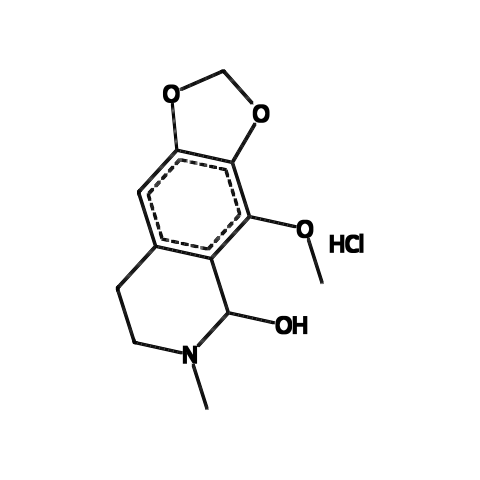 COc1c2c(cc3c1C(O)N(C)CC3)OCO2.Cl